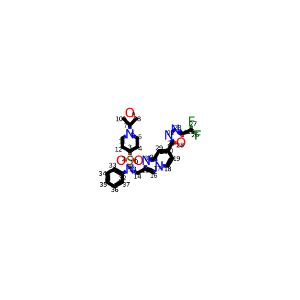 O=S(=O)(C1CCN(C2COC2)CC1)N(Cc1cn2ccc(-c3nnc(C(F)F)o3)cc2n1)c1ccccc1